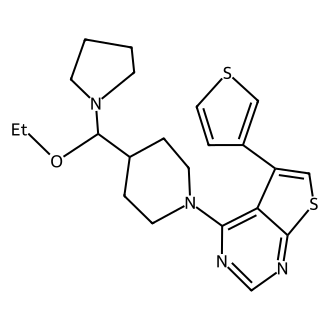 CCOC(C1CCN(c2ncnc3scc(-c4ccsc4)c23)CC1)N1CCCC1